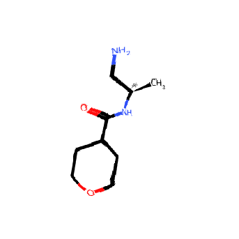 C[C@H](CN)NC(=O)C1CCOCC1